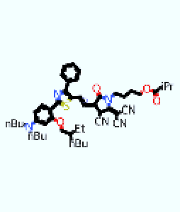 CCCCC(CC)COc1cc(N(CCCC)CCCC)ccc1-c1nc(-c2ccccc2)c(/C=C/C2C(=O)N(CCCCOC(=O)C(C)C)C(=C(C#N)C#N)C2C#N)s1